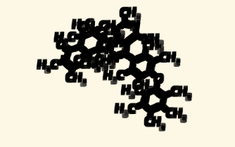 CC(C)=C(C)C(=O)C1C(C)(C)C(C)(C)C(C)(C)[C@@](C)(n2nc(-c3c(C)c(C)c(Oc4c(C)c(C)c(C)c(C)c4C)c(C)c3C)c3c(N)nc(C)nc32)C1(C)C